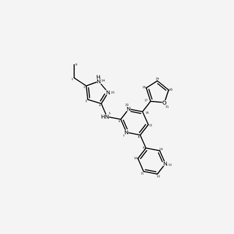 CCc1cc(Nc2nc(-c3cccnc3)cc(-c3ccco3)n2)n[nH]1